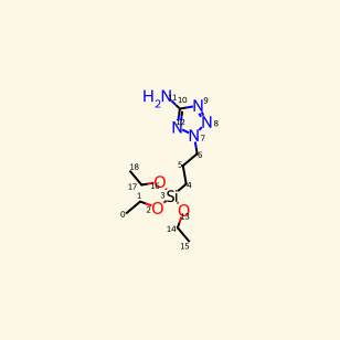 CCO[Si](CCCn1nnc(N)n1)(OCC)OCC